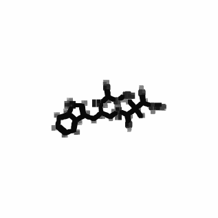 COC(=O)C(C)(C)C(=O)NCC(Cc1c[nH]c2ccccc12)NC(=O)OC(C)(C)C